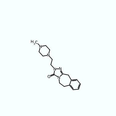 CN1CCN(CCn2nc3n(c2=O)CCc2ccccc2C3)CC1